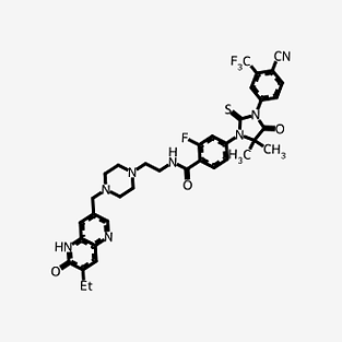 CCc1cc2ncc(CN3CCN(CCNC(=O)c4ccc(N5C(=S)N(c6ccc(C#N)c(C(F)(F)F)c6)C(=O)C5(C)C)cc4F)CC3)cc2[nH]c1=O